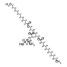 CCCCCCCCCCCCCC(=O)OCCCN(CCCOC(=O)CCCCCCCCCCCCC)C(=O)CCC[N+](C)(C)CCO